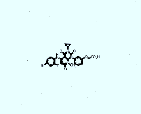 Cn1c(=O)cc(Nc2ccc(Br)cc2F)c2c(=O)n(C3CC3)c(=O)n(-c3cccc(OCC(=O)O)c3)c21